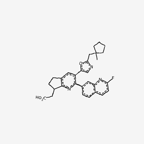 CC1(Cc2ncc(-c3cc4c(nc3-c3ccc5ccc(F)nc5c3)C(CC(=O)O)CC4)o2)CCCC1